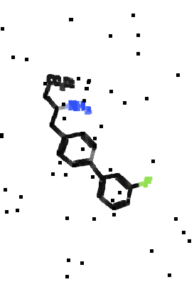 CCOC(=O)C[C@H](N)Cc1ccc(-c2cccc(F)c2)cc1